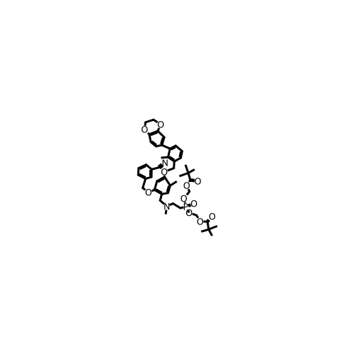 Cc1cc(CN(C)CCP(=O)(OCOC(=O)C(C)(C)C)OCOC(=O)C(C)(C)C)c(OCc2cccc(C#N)c2)cc1OCc1cccc(-c2ccc3c(c2)OCCO3)c1C